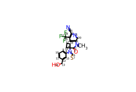 CN(C(=O)C1(N(C=S)c2cccc(CO)c2)CCC1)c1cnc(C#N)c(C(F)(F)F)c1